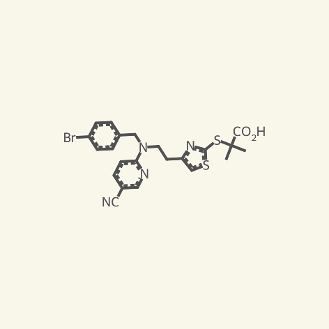 CC(C)(Sc1nc(CCN(Cc2ccc(Br)cc2)c2ccc(C#N)cn2)cs1)C(=O)O